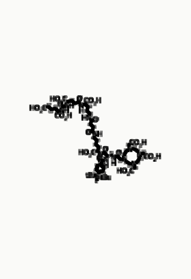 CC(C)(C)[Si](F)(c1ccc(C(=O)N[C@@H](CNC(=O)CN2CCN(CC(=O)O)CCN(CC(=O)O)CCN(CC(=O)O)CC2)C(=O)N[C@H](CCCCNC(=O)CCC(=O)NCCC[C@H](NC(=O)CC[C@H](NC(=O)N[C@@H](CCCC(=O)O)C(=O)O)C(=O)O)C(=O)O)C(=O)O)cc1)C(C)(C)C